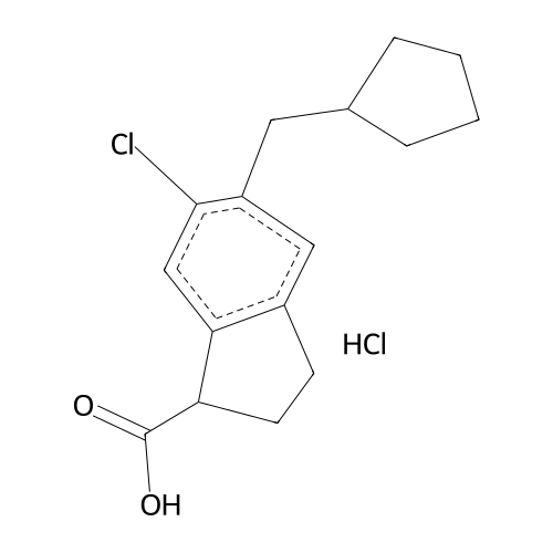 Cl.O=C(O)C1CCc2cc(CC3CCCC3)c(Cl)cc21